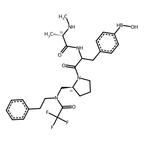 CN[C@@H](C)C(=O)NC(Cc1ccc(BO)cc1)C(=O)N1CCC[C@H]1CN(CCc1ccccc1)C(=O)C(F)(F)F